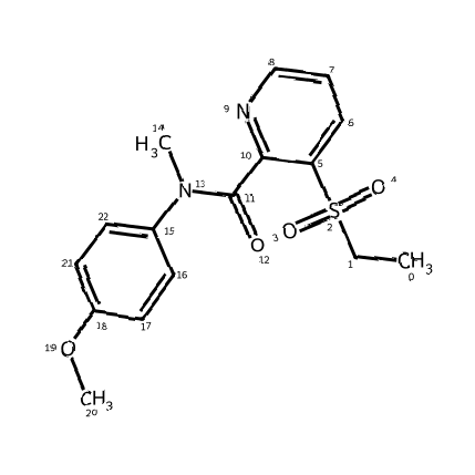 CCS(=O)(=O)c1cccnc1C(=O)N(C)c1ccc(OC)cc1